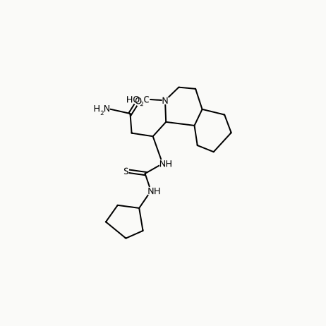 NC(=O)CC(NC(=S)NC1CCCC1)C1C2CCCCC2CCN1C(=O)O